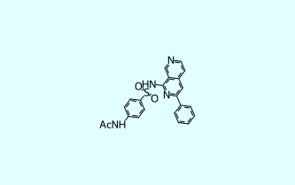 CC(=O)Nc1ccc(S(=O)(=O)Nc2nc(-c3ccccc3)cc3ccncc23)cc1